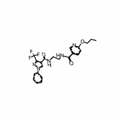 CCCOc1ccc(C(=O)NCCNC(=O)c2cn(-c3ccccc3)nc2C(F)(F)F)cn1